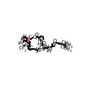 CC(C)c1ncccc1-c1c2c3cc(ccc3n1CC(F)(F)F)-c1nc(ns1)C[C@H](NC(=O)[C@@H](COC1CN(C(=O)C#CC(C)(C)N(C)C)C1)C(C)C)C(=O)N1CCC[C@H](N1)C(=O)OCC(C)(C)C2